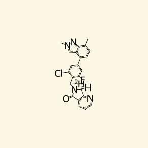 [2H]C1([2H])c2ncccc2C(=O)N1Cc1c(F)cc(-c2ccc(C)c3nn(C)cc23)cc1Cl